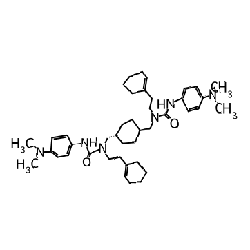 CN(C)c1ccc(NC(=O)N(CCC2=CCCCC2)C[C@H]2CC[C@H](CN(CCC3=CCCCC3)C(=O)Nc3ccc(N(C)C)cc3)CC2)cc1